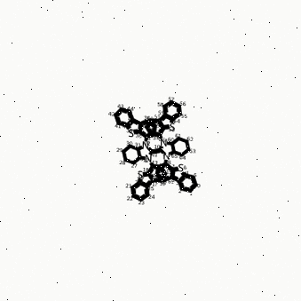 c1ccc2c(c1)sc1c(N3C(=C4N(c5cccc6c5sc5ccccc56)C5CCCCC5N4c4cccc5c4sc4ccccc45)N(c4cccc5c4sc4ccccc45)C4CCCCC43)cccc12